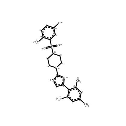 Cc1cc(C)c(-c2csc(N3CCC(S(=O)(=O)c4cc(F)ccc4C)CC3)n2)c(C)c1